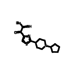 CCC(C)C(=N)C(=O)c1csc(C2CCN(C3CCCC3)CC2)n1